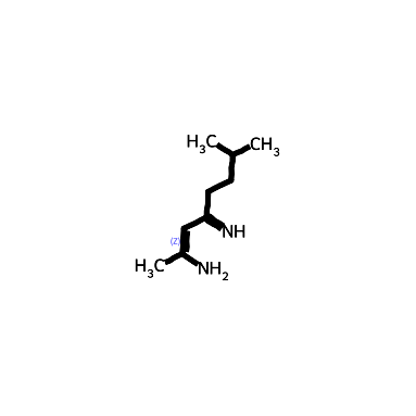 C/C(N)=C/C(=N)CCC(C)C